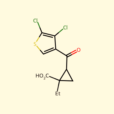 CCC1(C(=O)O)CC1C(=O)c1csc(Cl)c1Cl